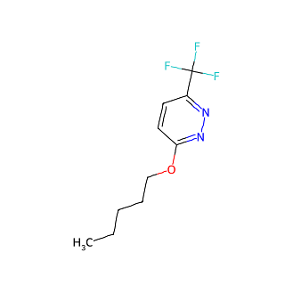 CCCCCOc1ccc(C(F)(F)F)nn1